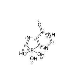 O=c1[nH]cnc2c1N=CP2(O)(O)O